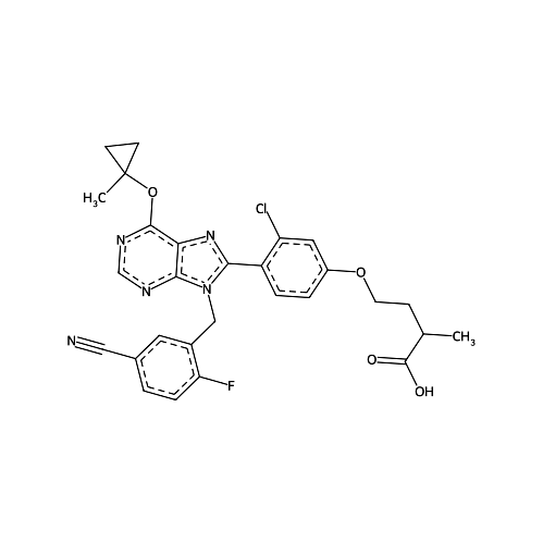 CC(CCOc1ccc(-c2nc3c(OC4(C)CC4)ncnc3n2Cc2cc(C#N)ccc2F)c(Cl)c1)C(=O)O